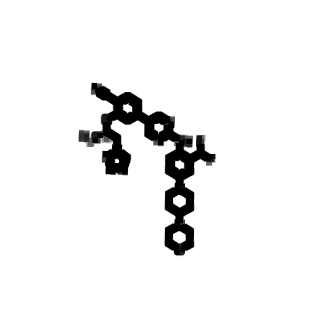 C[C@@H](Cn1cnnn1)Oc1cc(-c2cnc(Nc3ccc(N4CCC(N5CCOCC5)CC4)cc3C(F)F)nc2)ccc1C#N